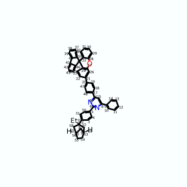 CCC1(c2ccc(-c3nc(-c4ccccc4)cc(-c4ccc(-c5ccc6c(c5)Oc5ccccc5C65c6ccccc6-c6ccccc65)cc4)n3)cc2)C[C@@H]2CC[C@H](C2)C1